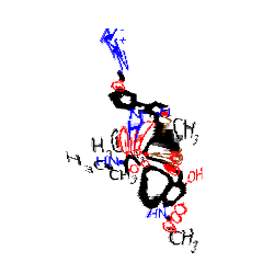 COC(=O)NC1C(=O)C[C@H](O)/C(=C/CS(C)=S)C2=C1C#C/C=C\C#C[C@@H]2OC1OC(C)C(SC)(C(=O)c2nccc3c2[nH]c2ccc(OCCN=[N+]=[N-])cc23)C(O)C1OC1CC(OC)C(NC(C)C)CO1